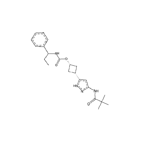 CCC(NC(=O)O[C@H]1C[C@@H](c2cc(NC(=O)C(C)(C)C)n[nH]2)C1)c1ccccc1